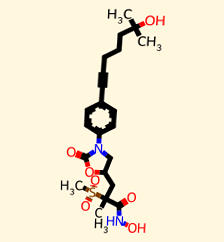 CC(C)(O)CCCC#Cc1ccc(N2CC(CC(C)(C(=O)NO)S(C)(=O)=O)OC2=O)cc1